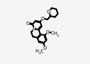 COc1cc2c(c(OC)c1)-c1cc(OCC3CCCCO3)cc(=O)n1CC2